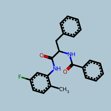 Cc1ccc(F)cc1NC(=O)C(Cc1ccccc1)NC(=O)c1ccccc1